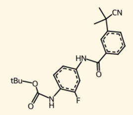 CC(C)(C)OC(=O)Nc1ccc(NC(=O)c2cccc(C(C)(C)C#N)c2)cc1F